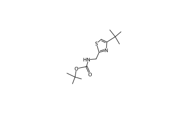 CC(C)(C)OC(=O)NCc1nc(C(C)(C)C)cs1